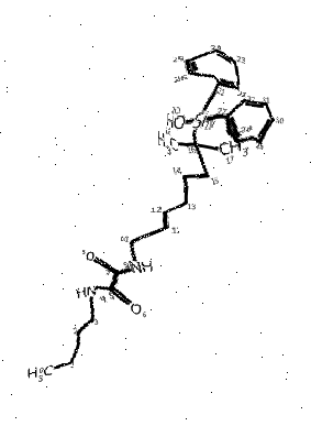 CCCCNC(=O)C(=O)NCCCCCCC(C)(C)[Si](O)(c1ccccc1)c1ccccc1